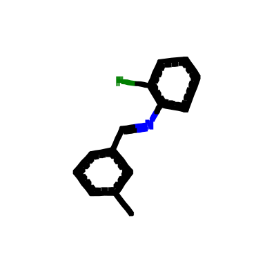 Cc1cccc(C=Nc2ccccc2F)c1